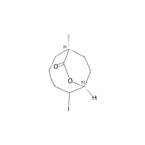 C[C@]12CCCC(I)[C@H](CC1)OC2=O